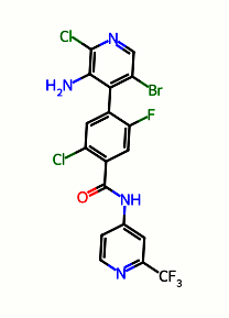 Nc1c(Cl)ncc(Br)c1-c1cc(Cl)c(C(=O)Nc2ccnc(C(F)(F)F)c2)cc1F